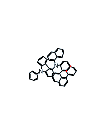 c1ccc(-c2cccc3cccc(-c4ccccc4N(c4cccc5ccccc45)c4cccc5c4c4ccccc4n5-c4ccccc4)c23)cc1